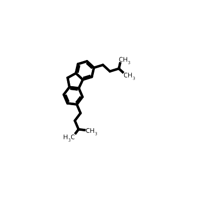 CC(C)CCc1ccc2c(c1)-c1cc(CCC(C)C)ccc1C2